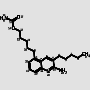 CCCCCc1cc2c(CCCCCOC(N)=O)cccc2nc1N